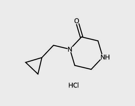 Cl.O=C1CNCCN1CC1CC1